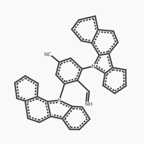 N#Cc1cc(-n2c3ccccc3c3ccc4ccccc4c32)c(C=N)c(-n2c3ccccc3c3ccc4ccccc4c32)c1